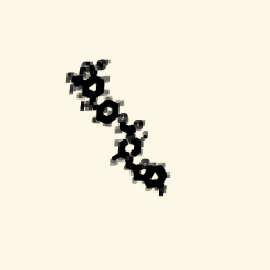 C[C@@H]1CN(CC2Cc3cc(F)ccc3O2)[C@@H](C)CN1C(=O)CO[C@H]1CC[C@H](Nc2ccc([N+](=O)[O-])c(C(F)(F)F)c2)CC1